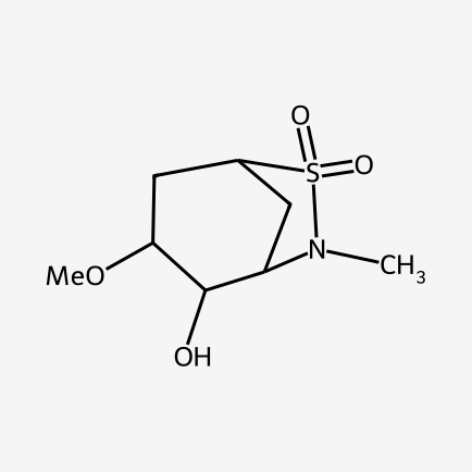 COC1CC2CC(C1O)N(C)S2(=O)=O